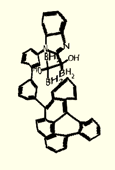 BC(B)(O)C(B)(O)c1nc2ccccc2n1-c1cccc(-c2cccc(-c3c4ccccc4c(-c4ccccc4-c4ccccc4)c4ccccc34)c2)c1